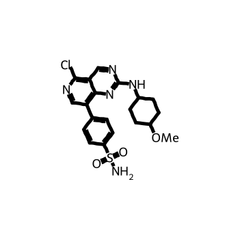 COC1CCC(Nc2ncc3c(Cl)ncc(-c4ccc(S(N)(=O)=O)cc4)c3n2)CC1